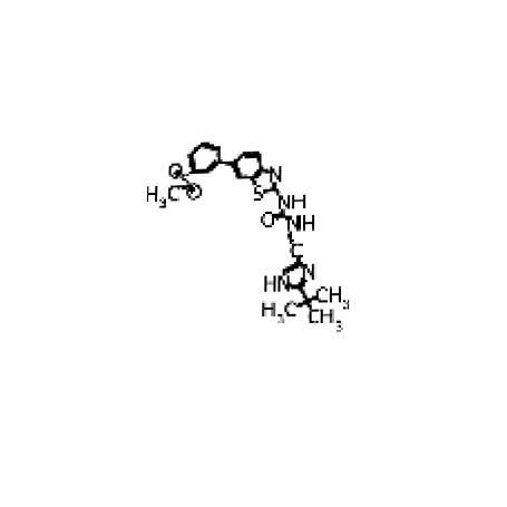 CC(C)(C)c1nc(CCNC(=O)Nc2nc3ccc(-c4cccc(S(C)(=O)=O)c4)cc3s2)c[nH]1